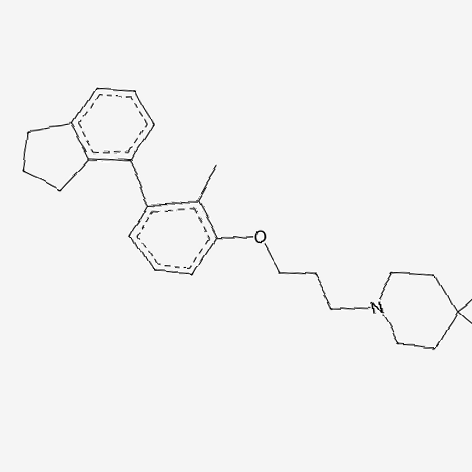 Cc1c(OCCCN2CCC(C)(C)CC2)cccc1-c1cccc2c1CCC2